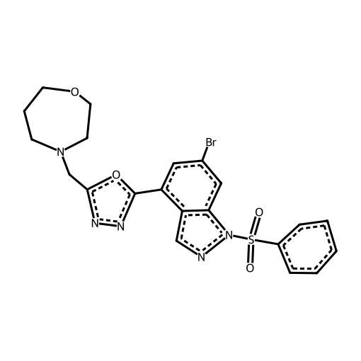 O=S(=O)(c1ccccc1)n1ncc2c(-c3nnc(CN4CCCOCC4)o3)cc(Br)cc21